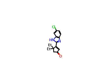 CCC1(CC)CC(=O)C=C1c1nc2ccc(Cl)cc2[nH]1